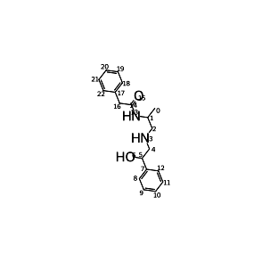 CC(CNCC(O)c1ccccc1)NC(=O)Cc1ccccc1